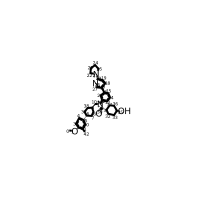 COc1ccc([C@H]2CC[C@H](CN(c3cccc(-c4ccc(N5CCCC5)nc4)c3)C(=O)[C@H]3CC[C@H](O)CC3)CC2)cc1C